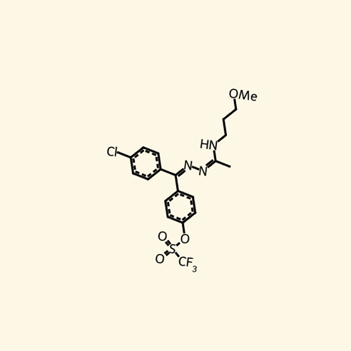 COCCCNC(C)=NN=C(c1ccc(Cl)cc1)c1ccc(OS(=O)(=O)C(F)(F)F)cc1